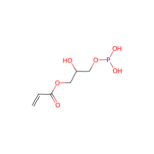 C=CC(=O)OCC(O)COP(O)O